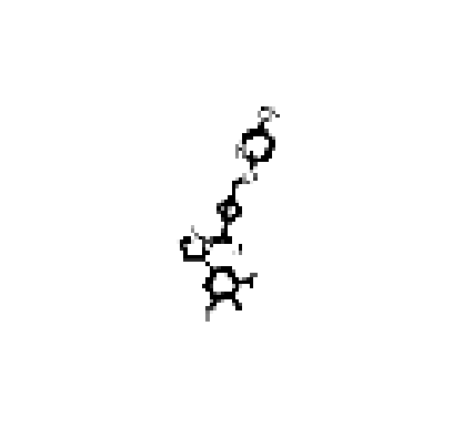 Cc1c(F)cc([C@H]2CC=NN2C(=O)C23CC(COc4ccc(C#N)cn4)(C2)C3)cc1F